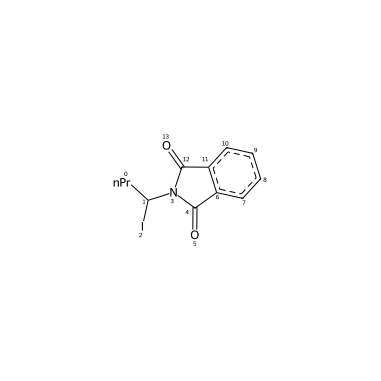 CCCC(I)N1C(=O)c2ccccc2C1=O